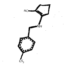 Cc1ccc(CNC2=C(C#N)CCC2)cc1